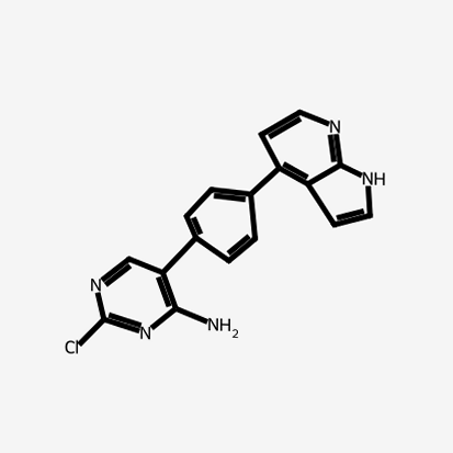 Nc1nc(Cl)ncc1-c1ccc(-c2ccnc3[nH]ccc23)cc1